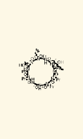 C=CCCC(O)C[C@@H](C)C[C@H]1C(=O)N[C@@H](CC)C(=O)N(C)[C@H](SCCN(C)C)C(=O)N(C)[C@@H](CC(C)(C)O)C(=O)NC(C(C)C)C(=O)N(C)[C@@H](CC(C)C)C(=O)N[C@@H](C)C(=O)N[C@H](C)C(=O)N(C)[C@@H](CC(C)C)C(=O)N(C)[C@@H](CC(C)C)C(=O)N(C)C(C(C)C)C(=O)N1C